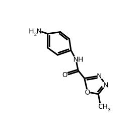 Cc1nnc(C(=O)Nc2ccc(N)cc2)o1